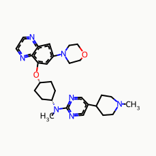 CN1CCC(c2cnc(N(C)[C@H]3CC[C@@H](Oc4cc(N5CCOCC5)cc5nccnc45)CC3)nc2)CC1